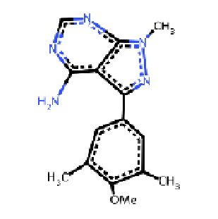 COc1c(C)cc(-c2nn(C)c3ncnc(N)c23)cc1C